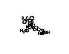 COc1cc(OC)nc(C[C@H](C(=O)NCCCCCCON(O)O)C(C)(c2ccccc2)c2ccccc2)n1